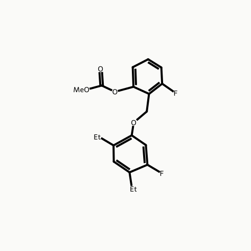 CCc1cc(CC)c(OCc2c(F)cccc2OC(=O)OC)cc1F